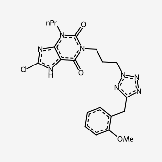 CCCn1c(=O)n(CCCn2nnc(Cc3ccccc3OC)n2)c(=O)c2[nH]c(Cl)nc21